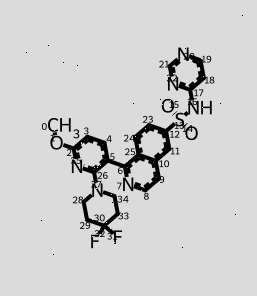 COc1ccc(-c2nccc3cc(S(=O)(=O)Nc4ccncn4)ccc23)c(N2CCC(F)(F)CC2)n1